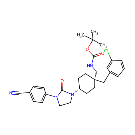 CC(C)(C)OC(=O)NC[C@]1(Cc2cccc(Cl)c2)CC[C@H](N2CCN(c3ccc(C#N)cc3)C2=O)CC1